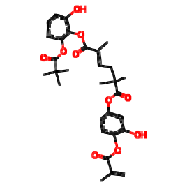 C=C(C)C(=O)Oc1ccc(OC(=O)C(C)(C)C/C=C(\C)C(=O)Oc2c(O)cccc2OC(=O)C(C)(C)C)cc1O